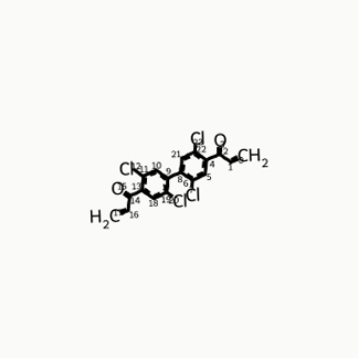 C=CC(=O)c1cc(Cl)c(-c2cc(Cl)c(C(=O)C=C)cc2Cl)cc1Cl